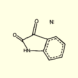 O=C1Nc2ccccc2C1=O.[N]